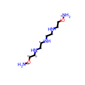 NOCCNCCNCCNCCON